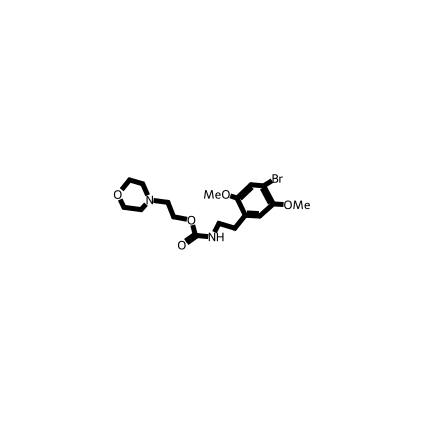 COc1cc(CCNC(=O)OCCN2CCOCC2)c(OC)cc1Br